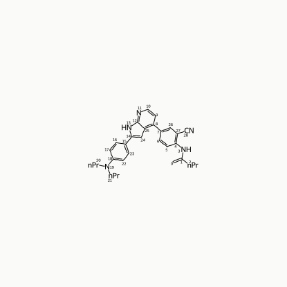 C=C(CCC)Nc1ccc(-c2ccnc3[nH]c(-c4ccc(N(CCC)CCC)cc4)cc23)cc1C#N